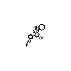 C#CCOc1cccc(C2CC(O)=NC3C2SC(N)N3C2CCCCCCC2)c1